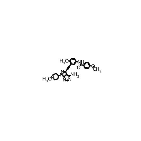 COc1ccc(C(=O)Nc2ccc(C)c(C#Cc3nn(C4CCN(C)CC4)c4ncnc(N)c34)c2)cc1